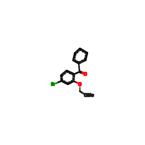 COCOc1cc(Br)ccc1C(=O)c1ccccc1